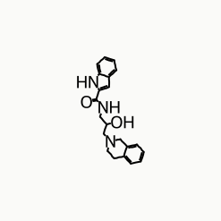 O=C(NCC(O)CN1CCc2ccccc2C1)c1cc2ccccc2[nH]1